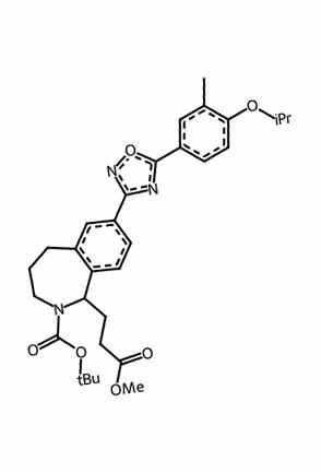 COC(=O)CCC1c2ccc(-c3noc(-c4ccc(OC(C)C)c(C)c4)n3)cc2CCCN1C(=O)OC(C)(C)C